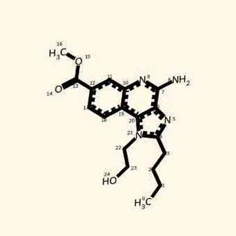 CCCCc1nc2c(N)nc3cc(C(=O)OC)ccc3c2n1CCO